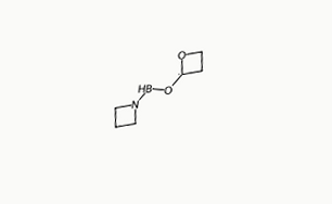 B(O[C]1CCO1)N1CCC1